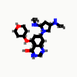 CNC1CC(NC)N(c2cc(OC3CCOCC3)c3c(=O)[nH]cnc3c2)C1